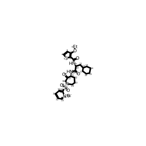 CCOc1ccsc1C(=O)NC(CC1CCCCC1)C(=O)N[C@H]1CCCN(S(=O)(=O)c2cccc[n+]2[O-])CC1=O